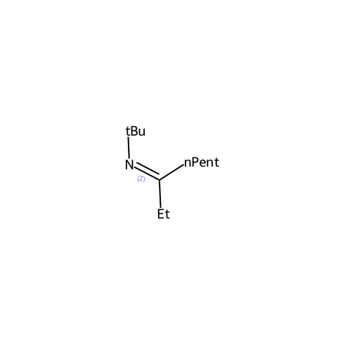 CCCCC/C(CC)=N\C(C)(C)C